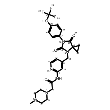 CN1CCN(CC(=O)Nc2cc(CN3C(=O)N(c4ccc(OC(F)(F)F)cc4)C(=O)C34CC4)ccn2)CC1